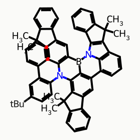 CC(C)(C)c1ccc(N2c3cc4c(cc3B3c5c(cc6c(c52)C(C)(C)c2ccccc2-6)-c2cccc5c6c(n3c25)-c2ccccc2C6(C)C)-c2ccccc2C4(C)C)c(-c2ccccc2)c1